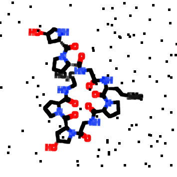 CSCC[C@H](NC(=O)CNC(=O)[C@@H]1CCCN1C(=O)[C@@H]1C[C@@H](O)CN1)C(=O)N1CCC[C@H]1C(=O)NCC(=O)N1C[C@H](O)C[C@H]1C(=O)N1CCC[C@H]1C(=O)NCC(=O)O